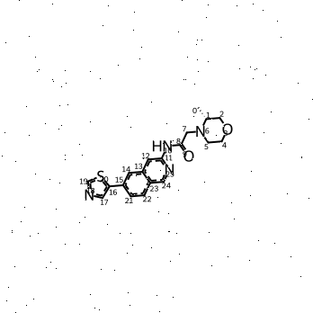 C[C@@H]1COCCN1CC(=O)Nc1cc2cc(-c3cncs3)ccc2cn1